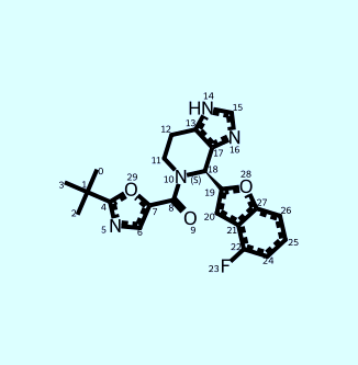 CC(C)(C)c1ncc(C(=O)N2CCc3[nH]cnc3[C@H]2c2cc3c(F)cccc3o2)o1